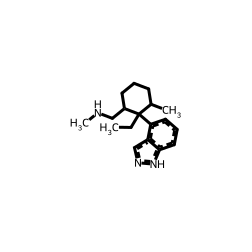 CCC1(c2cccc3[nH]ncc23)C(C)CCCC1CNC